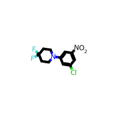 O=[N+]([O-])c1cc(Cl)cc(N2CCC(F)(F)CC2)c1